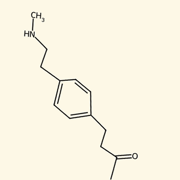 CNCCc1ccc(CCC(=O)O)cc1